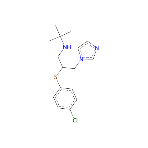 CC(C)(C)NCC(Cn1ccnc1)Sc1ccc(Cl)cc1